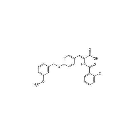 COc1cccc(COc2ccc(C=C(NC(=O)c3ccccc3Cl)C(=O)O)cc2)c1